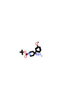 COc1cccc(C2(N)CCN(C(=O)OC(C)(C)C)CC2)c1